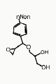 CCCCCCCCCc1ccc(C(OCC(O)CO)C2CO2)cc1